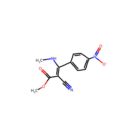 CN/C(=C(/C#N)C(=O)OC)c1ccc([N+](=O)[O-])cc1